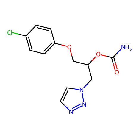 NC(=O)OC(COc1ccc(Cl)cc1)Cn1ccnn1